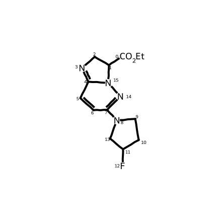 CCOC(=O)C1CN=C2C=CC(N3CCC(F)C3)=NN21